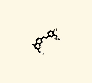 CNCc1cc(CCc2ccc3c(C)cc(N)nc3c2)ccc1Cl